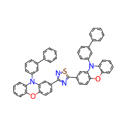 c1ccc(-c2cccc(N3c4ccccc4Oc4ccc(-c5nsc(-c6ccc7c(c6)N(c6cccc(-c8ccccc8)c6)c6ccccc6O7)n5)cc43)c2)cc1